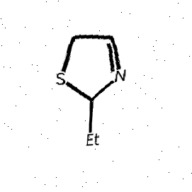 CCC1N=CCS1